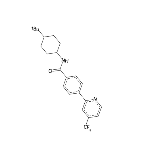 CC(C)(C)C1CCC(NC(=O)c2ccc(-c3cc(C(F)(F)F)ccn3)cc2)CC1